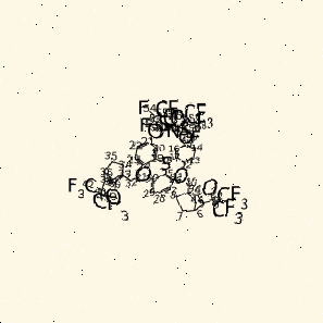 FC(F)(F)C1(C(F)(F)F)OC2C1C1CCC2(COc2ccccc2[S+](c2ccccc2)c2ccccc2OCC23CCC(C2)C2C3OC2(C(F)(F)F)C(F)(F)F)C1.O=S(=O)([N-]S(=O)(=O)C(F)(F)C(F)(F)F)C(F)(F)C(F)(F)F